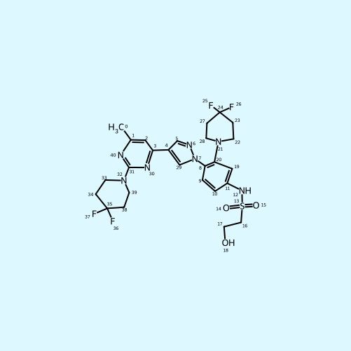 Cc1cc(-c2cnn(-c3ccc(NS(=O)(=O)CCO)cc3N3CCC(F)(F)CC3)c2)nc(N2CCC(F)(F)CC2)n1